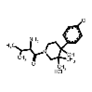 CC(C)C(N)C(=O)N1CCC(O)(c2ccc(Cl)cc2)C(C)(C)C1.Cl